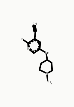 C#Cc1cc(NC2CCN(C)CC2)cnc1F